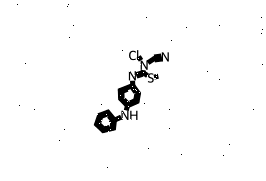 CSC(=Nc1ccc(Nc2ccccc2)cc1)N(Cl)C#N